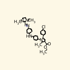 CCOC(=O)c1cc(-c2ccc(Cl)cc2)n(-c2ccc(Nc3ccc(/N=N/c4n(C)cc[n+]4C)cc3)cc2)c1C